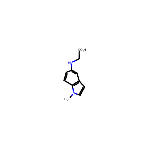 Cn1ccc2cc(NCC(=O)O)ccc21